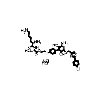 Cl.Cl.N#Cc1c(N)nc(SCc2csc(-c3ccc(Cl)cc3)n2)c(C#N)c1-c1ccc(OCCOC(=O)[C@H](CO)NC(=O)[C@@H](N)CCCCN)cc1